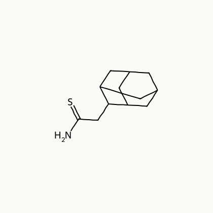 NC(=S)CC1C2CC3CC(C2)CC1C3